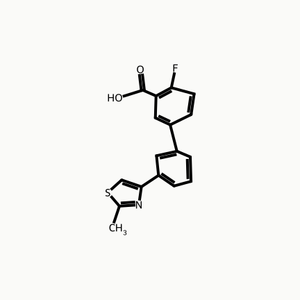 Cc1nc(-c2cccc(-c3ccc(F)c(C(=O)O)c3)c2)cs1